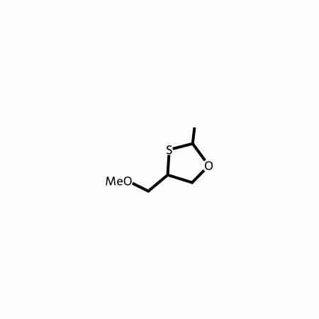 COCC1COC(C)S1